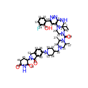 CCC12CNc3nnc(-c4cccc(F)c4O)cc3N1CCN(C(=O)N1[C@H](C)CN(CC3CCN(c4ccc5c(c4)C(=O)N(C4CCC(=O)NC4=O)C5)CC3)C[C@@H]1C)C2